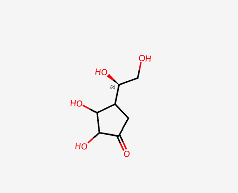 O=C1CC([C@@H](O)CO)C(O)C1O